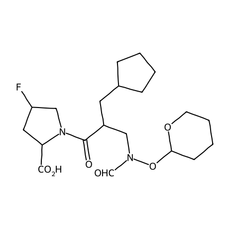 O=CN(CC(CC1CCCC1)C(=O)N1CC(F)CC1C(=O)O)OC1CCCCO1